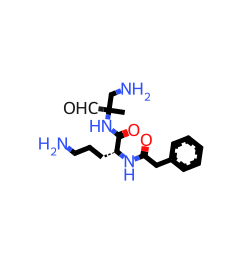 CC(C=O)(CN)NC(=O)[C@@H](CCCN)NC(=O)Cc1ccccc1